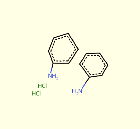 Cl.Cl.Nc1ccccc1.Nc1ccccc1